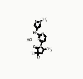 CCC1(CC)CC(C)N(c2ccnc(Nc3cnn(C)c3)n2)C1=O.Cl